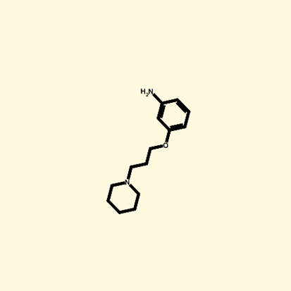 Nc1cccc(OCCCN2CCCCC2)c1